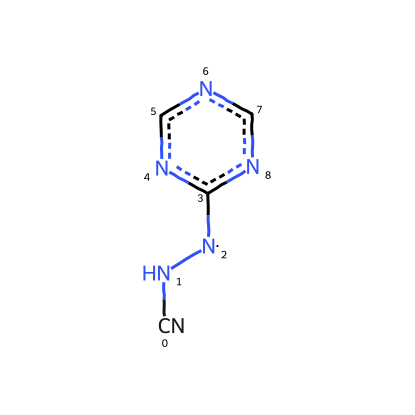 N#CN[N]c1ncncn1